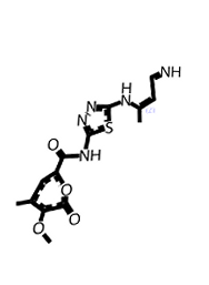 COc1c(C)cc(C(=O)Nc2nnc(N/C(C)=C\C=N)s2)oc1=O